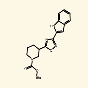 CC(C)(C)OC(=O)N1CCCC(c2nc(-c3cc4ccccc4[nH]3)no2)C1